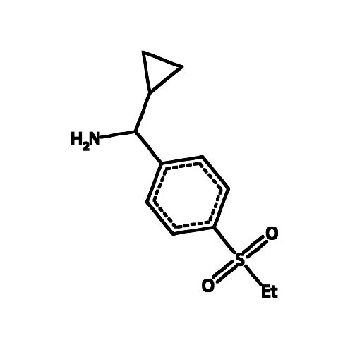 CCS(=O)(=O)c1ccc(C(N)C2CC2)cc1